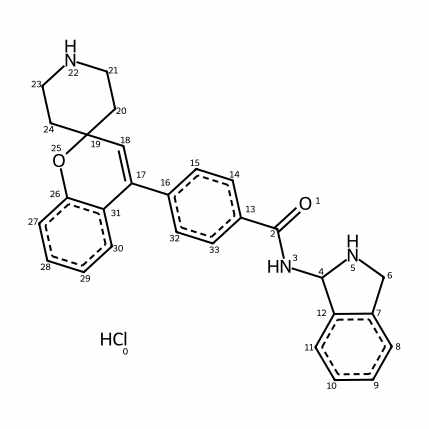 Cl.O=C(NC1NCc2ccccc21)c1ccc(C2=CC3(CCNCC3)Oc3ccccc32)cc1